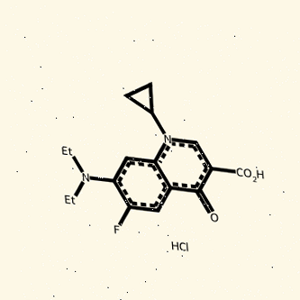 CCN(CC)c1cc2c(cc1F)c(=O)c(C(=O)O)cn2C1CC1.Cl